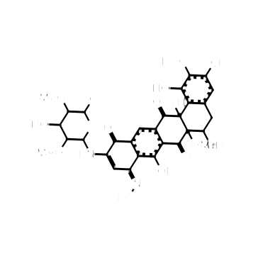 CN=C1C=C(NC2OC(C)C(OC)C(O)C2OC)C(=O)c2cc3c(c(O)c21)C(=O)C1(OC)C(O)Cc2cc(C)c(C(=O)O)c(O)c2C1(O)C3=O